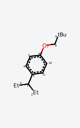 CCC(CC)c1ccc(OCC(C)(C)C)cc1